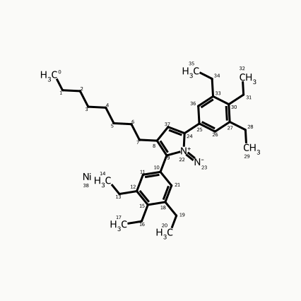 CCCCCCCCC1=C(c2cc(CC)c(CC)c(CC)c2)[N+](=[N-])C(c2cc(CC)c(CC)c(CC)c2)=C1.[Ni]